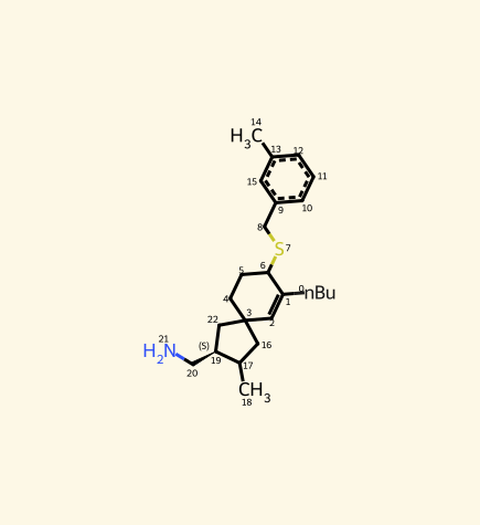 CCCCC1=CC2(CCC1SCc1cccc(C)c1)CC(C)[C@@H](CN)C2